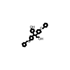 OCCC(=C(c1ccc(O)cc1)c1ccc(OCc2ccccc2)cc1)c1ccc(OCc2ccccc2)cc1